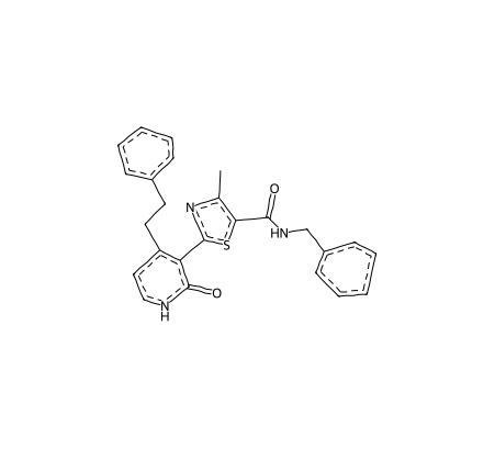 Cc1nc(-c2c(CCc3ccccc3)cc[nH]c2=O)sc1C(=O)NCc1ccccc1